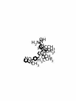 CN(Cc1cccnc1)C(=O)c1ccc(C[C@H]2CC[C@@H]([C@H](O[Si](C)(C)C(C)(C)C)c3ccc(/C(N)=N/O)nc3)N2C(=O)OC(C)(C)C)cc1